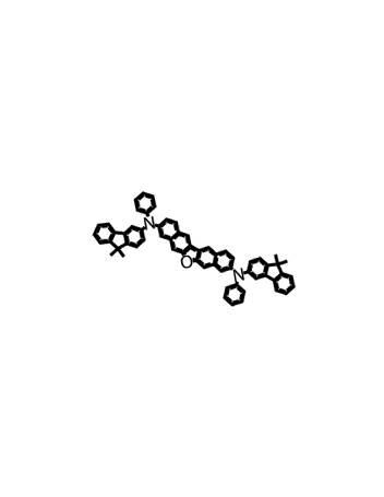 CC1(C)c2ccccc2-c2cc(N(c3ccccc3)c3ccc4cc5c(cc4c3)oc3cc4cc(N(c6ccccc6)c6ccc7c(c6)-c6ccccc6C7(C)C)ccc4cc35)ccc21